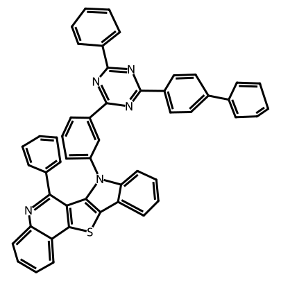 c1ccc(-c2ccc(-c3nc(-c4ccccc4)nc(-c4cccc(-n5c6ccccc6c6sc7c8ccccc8nc(-c8ccccc8)c7c65)c4)n3)cc2)cc1